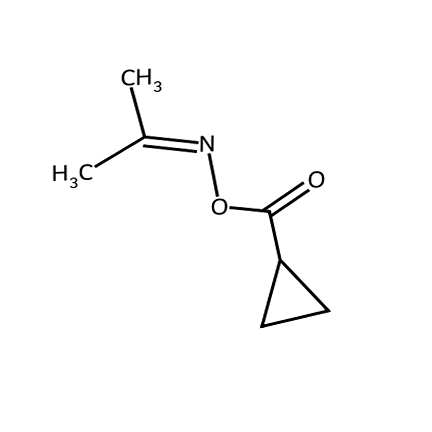 CC(C)=NOC(=O)C1CC1